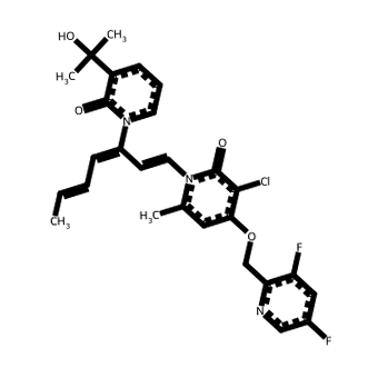 C/C=C/C=C(\C=C\n1c(C)cc(OCc2ncc(F)cc2F)c(Cl)c1=O)n1cccc(C(C)(C)O)c1=O